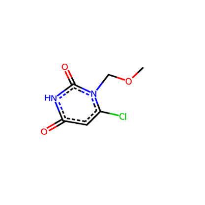 COCn1c(Cl)cc(=O)[nH]c1=O